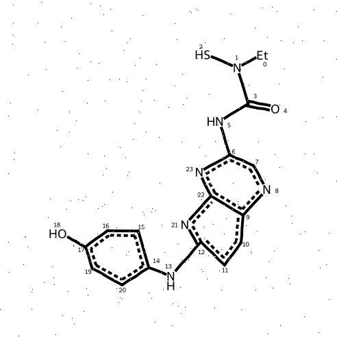 CCN(S)C(=O)Nc1cnc2ccc(Nc3ccc(O)cc3)nc2n1